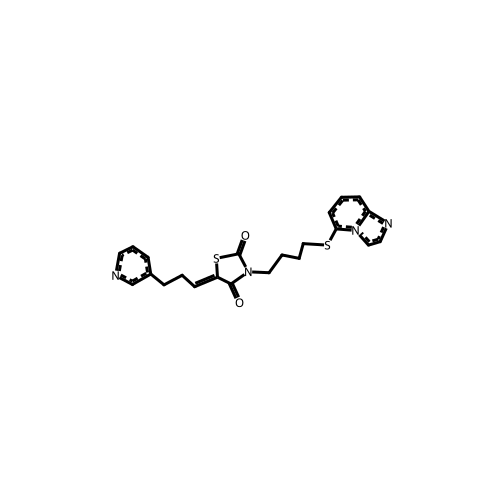 O=C1SC(=CCCc2cccnc2)C(=O)N1CCCCSc1cccc2nccn12